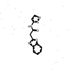 O=C(Cc1nc2ccccc2o1)Nc1ccns1